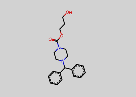 O=C(OCCCO)N1CCN(C(c2ccccc2)c2ccccc2)CC1